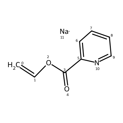 C=COC(=O)c1ccccn1.[Na]